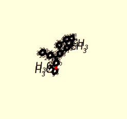 CC1(C)c2ccccc2-c2ccc(N(c3ccc(-c4ccccc4)cc3)c3ccc(-c4ccc5c(c4)-c4c(-c6ccccc6)ccc6cccc(c46)C5(C)C)cc3)cc21